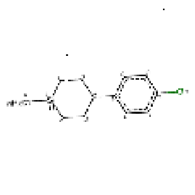 CCCCCCC[SiH]1CCC(c2ccc(Cl)cc2)CC1